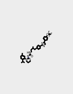 Cc1ccc(C(C)C)c(N2CCCS/C2=N\C(=O)NCCC(C)Cc2ccc(C3=NC(c4ccc(OC(F)(F)F)cc4)C=N3)cc2)c1